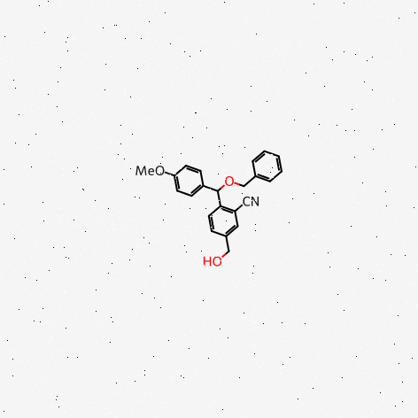 COc1ccc(C(OCc2ccccc2)c2ccc(CO)cc2C#N)cc1